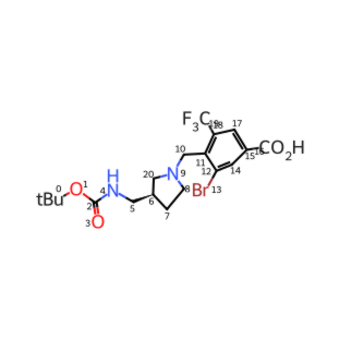 CC(C)(C)OC(=O)NC[C@@H]1CCN(Cc2c(Br)cc(C(=O)O)cc2C(F)(F)F)C1